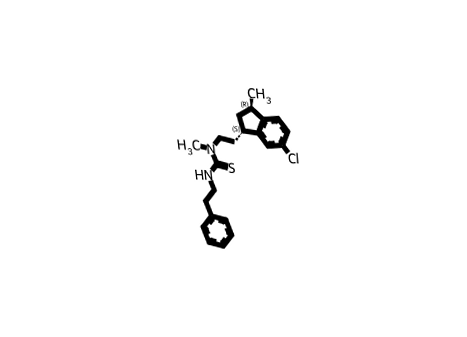 C[C@@H]1C[C@@H](CCN(C)C(=S)NCCc2ccccc2)c2cc(Cl)ccc21